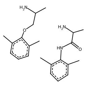 Cc1cccc(C)c1NC(=O)C(C)N.Cc1cccc(C)c1OCC(C)N